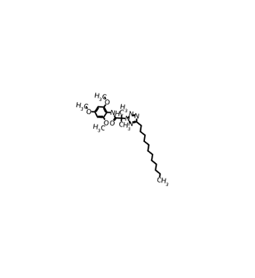 CCCCCCCCCCCCc1nnn(C(C)(C)C(=O)Nc2c(OC)cc(OC)cc2OC)n1